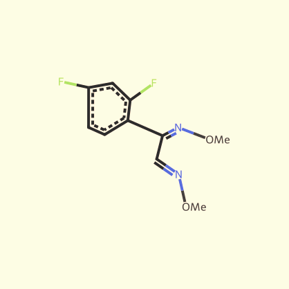 CON=CC(=NOC)c1ccc(F)cc1F